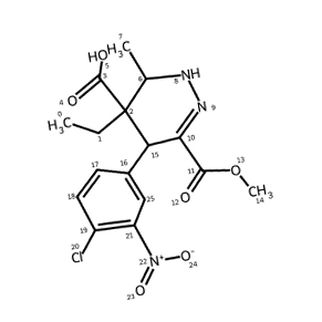 CCC1(C(=O)O)C(C)NN=C(C(=O)OC)C1c1ccc(Cl)c([N+](=O)[O-])c1